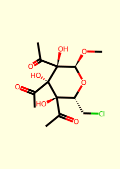 CO[C@H]1O[C@H](CCl)[C@](O)(C(C)=O)[C@@](O)(C(C)=O)[C@]1(O)C(C)=O